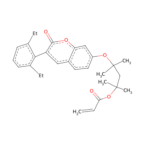 C=CC(=O)OC(C)(C)CC(C)(C)Oc1ccc2cc(-c3c(CC)cccc3CC)c(=O)oc2c1